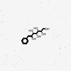 OC[C@@H](O)[C@@H](O)[C@H](O)[C@@H](O)C(O)=Cc1ccccc1